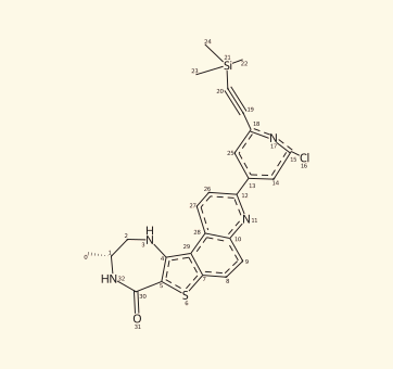 C[C@@H]1CNc2c(sc3ccc4nc(-c5cc(Cl)nc(C#C[Si](C)(C)C)c5)ccc4c23)C(=O)N1